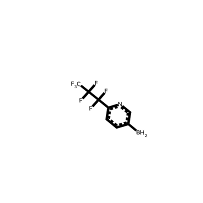 Bc1ccc(C(F)(F)C(F)(F)C(F)(F)F)nc1